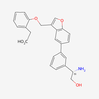 N[C@H](CO)c1cccc(-c2ccc3occ(COc4ccccc4CC(=O)O)c3c2)c1